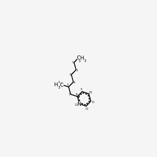 CCCCCC(C)Cc1ccccn1